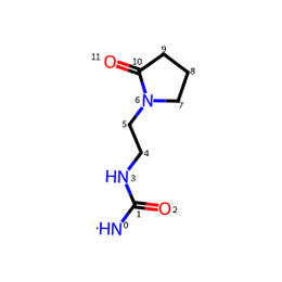 [NH]C(=O)NCCN1CCCC1=O